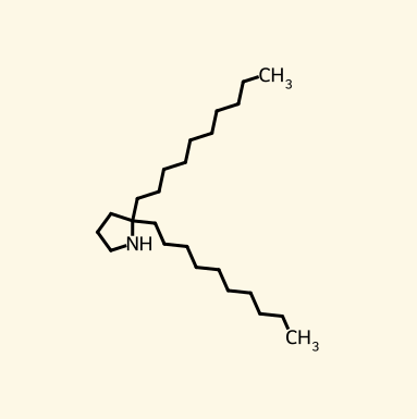 CCCCCCCCCCC1(CCCCCCCCCC)CCCN1